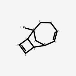 FC12CCC=CC(C1)C1C=CC12